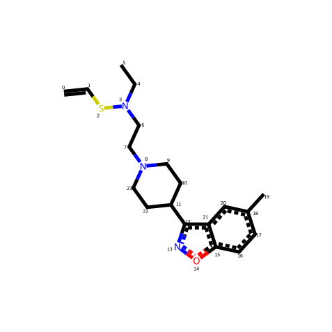 C=CSN(CC)CCN1CCC(c2noc3ccc(C)cc23)CC1